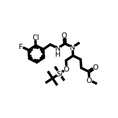 COC(=O)CCC(CO[Si](C)(C)C(C)(C)C)N(C)C(=O)NCc1cccc(F)c1Cl